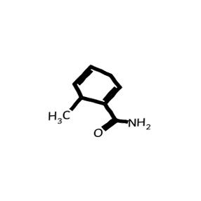 CC1C=CCC=C1C(N)=O